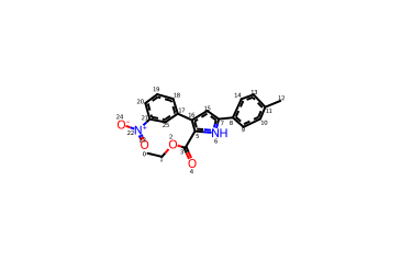 CCOC(=O)c1[nH]c(-c2ccc(C)cc2)cc1-c1cccc([N+](=O)[O-])c1